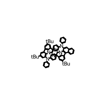 CC(C)(C)c1cc(N(c2ccccc2)c2ccccc2)c2c(c1)c1cc(C(C)(C)C)cc3c4nc5c(nc4n2c13)c1cc(C(C)(C)C)cc2c3c4ccccc4cc(N(c4ccccc4)c4ccccc4)c3n5c12